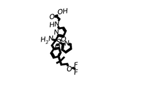 CC(C)(CCOC(F)F)c1ccc(CC(N)(c2cccc(NCC(=O)O)n2)S(=O)(=O)c2ccccn2)cc1